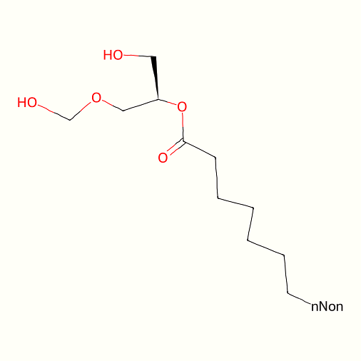 CCCCCCCCCCCCCCCC(=O)O[C@H](CO)COCO